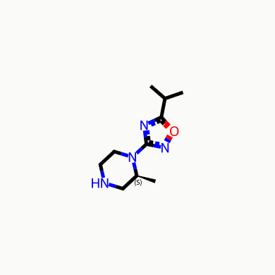 CC(C)c1nc(N2CCNC[C@@H]2C)no1